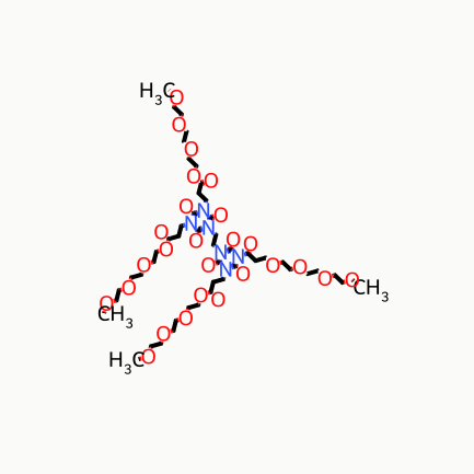 COCCOCCOCCOCCC(=O)n1c(=O)n(CCC(=O)OCCOCCOCCOC)c(=O)n(CCn2c(=O)n(CCC(=O)OCCOCCOCCOC)c(=O)n(CCC(=O)OCCOCCOCCOC)c2=O)c1=O